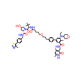 CCN(c1cc(-c2ccc(CCCOCCCCC(=O)NC(C(=O)N3C[C@H](O)C[C@H]3C(=O)NCc3ccc(-c4scnc4C)cc3)C(C)(C)C)cc2)cc(C(=O)NCc2c(C)cc(C)[nH]c2=O)c1C)C1CCOCC1